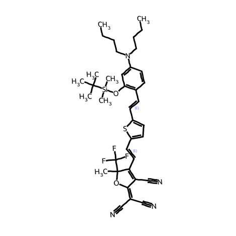 CCCCN(CCCC)c1ccc(/C=C/c2ccc(/C=C/C3=C(C#N)C(=C(C#N)C#N)OC3(C)C(F)(F)F)s2)c(O[Si](C)(C)C(C)(C)C)c1